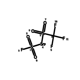 O=[S](=O)(F)[Sn][S](=O)(=O)C(F)(F)F